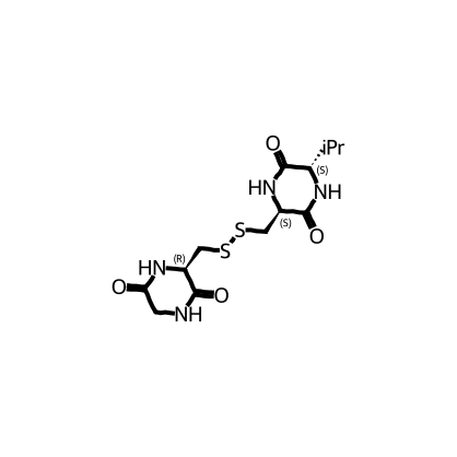 CC(C)[C@@H]1NC(=O)[C@@H](CSSC[C@@H]2NC(=O)CNC2=O)NC1=O